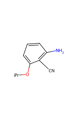 CC(C)Oc1cccc(N)c1C#N